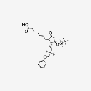 CC(C)(C)[Si](C)(C)O[C@@H]1CC(=O)C(CC=CCCCC(=O)O)[C@H]1C=CC(F)(F)COc1ccccc1